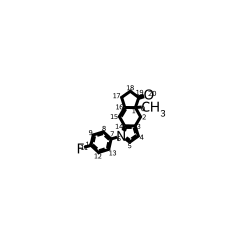 CC12Cc3ccn(-c4ccc(F)cc4)c3C=C1CCC2=O